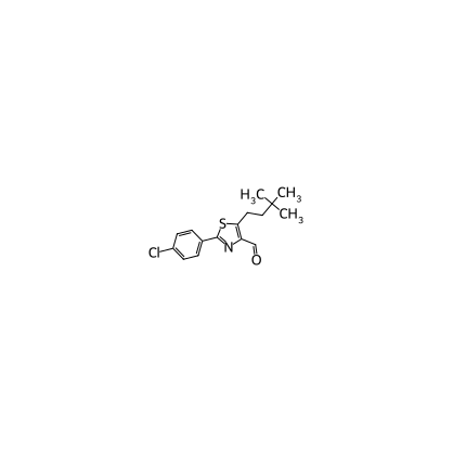 CC(C)(C)CCc1sc(-c2ccc(Cl)cc2)nc1C=O